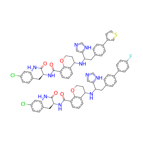 NC(=O)[C@H](Cc1ccc(Cl)cc1)NC(=O)c1cccc2c1OCCC2NC(Cc1ccc(-c2ccc(F)cc2)cc1)c1cnc[nH]1.NC(=O)[C@H](Cc1ccc(Cl)cc1)NC(=O)c1cccc2c1OCCC2NC(Cc1ccc(-c2ccsc2)cc1)c1cnc[nH]1